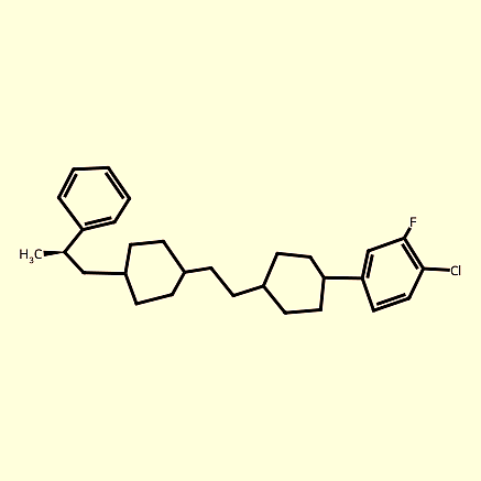 C[C@H](CC1CCC(CCC2CCC(c3ccc(Cl)c(F)c3)CC2)CC1)c1ccccc1